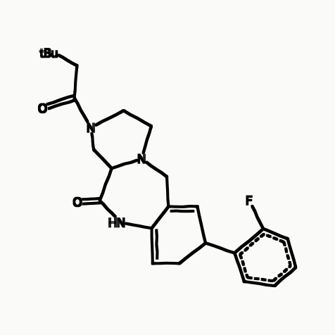 CC(C)(C)CC(=O)N1CCN2CC3=CC(c4ccccc4F)CC=C3NC(=O)C2C1